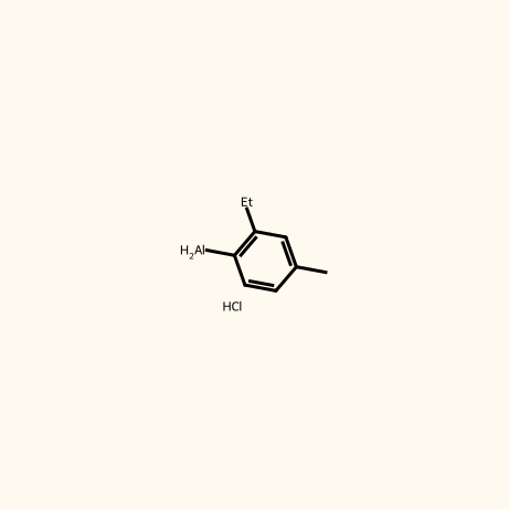 CCc1cc(C)cc[c]1[AlH2].Cl